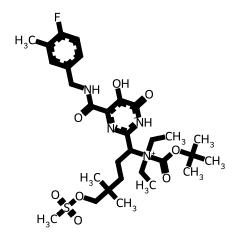 CC[N+](CC)(C(=O)OC(C)(C)C)C(CCC(C)(C)COS(C)(=O)=O)c1nc(C(=O)NCc2ccc(F)c(C)c2)c(O)c(=O)[nH]1